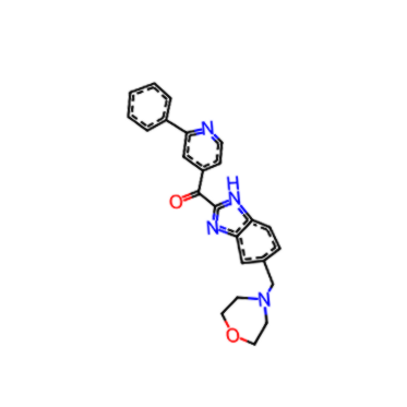 O=C(c1ccnc(-c2ccccc2)c1)c1nc2cc(CN3CCOCC3)ccc2[nH]1